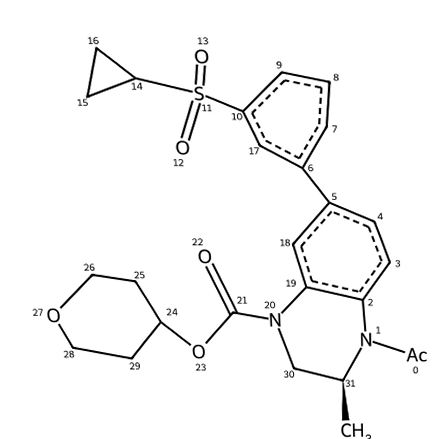 CC(=O)N1c2ccc(-c3cccc(S(=O)(=O)C4CC4)c3)cc2N(C(=O)OC2CCOCC2)C[C@@H]1C